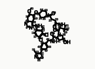 COc1cc2ncnc(Nc3ccc(Cl)c(Cl)c3F)c2cc1OC1CCN(C(=O)CCC(=O)NC(C(=O)N2C[C@H](O)C[C@H]2C(=O)NCc2ccc(-c3scnc3C)cc2)C(C)(C)C)CC1